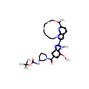 COc1cc(C(=O)N2CCC[C@@H](NC(=O)OC(C)(C)C)C2)cc2nc(-c3cc4ccc5nc4n3CCCCCCCCOC5C)n(C)c12